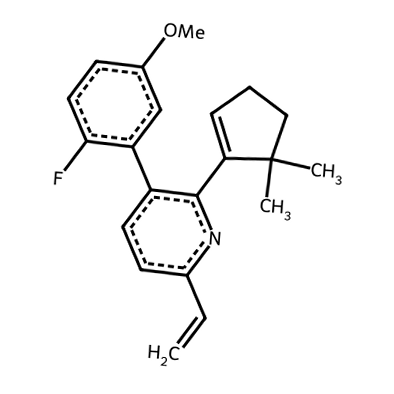 C=Cc1ccc(-c2cc(OC)ccc2F)c(C2=CCCC2(C)C)n1